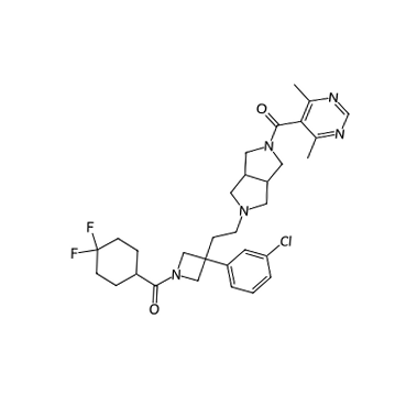 Cc1ncnc(C)c1C(=O)N1CC2CN(CCC3(c4cccc(Cl)c4)CN(C(=O)C4CCC(F)(F)CC4)C3)CC2C1